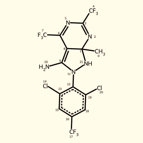 CC12N=C(C(F)(F)F)N=C(C(F)(F)F)C1=C(N)N(c1c(Cl)cc(C(F)(F)F)cc1Cl)N2